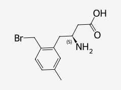 Cc1ccc(CBr)c(C[C@H](N)CC(=O)O)c1